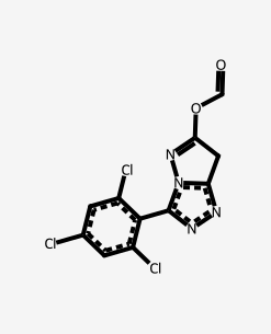 O=COC1=Nn2c(nnc2-c2c(Cl)cc(Cl)cc2Cl)C1